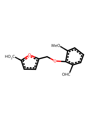 COc1cccc(C=O)c1OCc1ccc(C(=O)O)o1